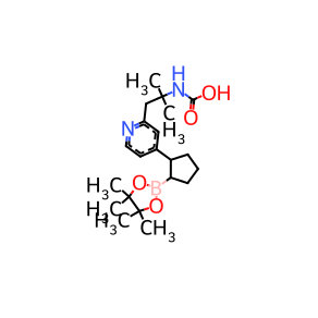 CC(C)(Cc1cc(C2CCCC2B2OC(C)(C)C(C)(C)O2)ccn1)NC(=O)O